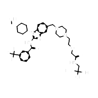 CC(C)(C)CNC(=O)COCCN1CCN(Cc2ccc3c(c2)nc(NC(=O)c2cccc(C(F)(F)F)c2)n3[C@H]2CC[C@@H](CO)CC2)CC1